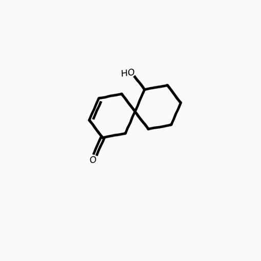 O=C1C=CCC2(CCCCC2O)C1